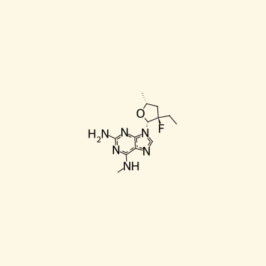 CC[C@@]1(F)C[C@@H](C)O[C@H]1n1cnc2c(NC)nc(N)nc21